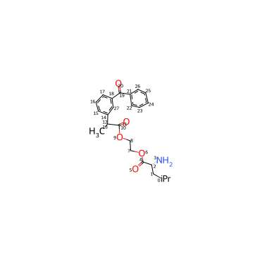 CC(C)C[C@@H](N)C(=O)OCCOC(=O)C(C)c1cccc(C(=O)c2ccccc2)c1